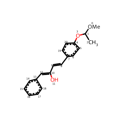 COC(C)Oc1ccc(C=CC(O)=Cc2ccccc2)cc1